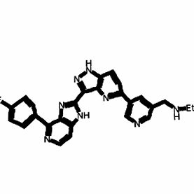 CCNCc1cncc(-c2ccc3[nH]nc(-c4nc5c(-c6ccc(F)cc6)nccc5[nH]4)c3n2)c1